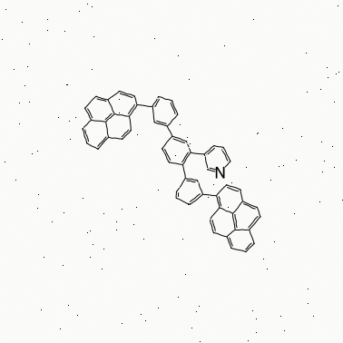 c1cncc(-c2cc(-c3cccc(-c4ccc5ccc6cccc7ccc4c5c67)c3)ccc2-c2cccc(-c3ccc4ccc5cccc6ccc3c4c56)c2)c1